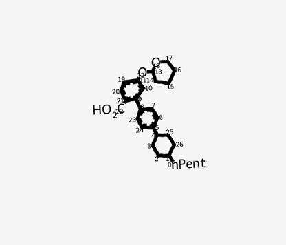 CCCCCC1CCC(c2ccc(-c3cc(OC4CCCCO4)ccc3C(=O)O)cc2)CC1